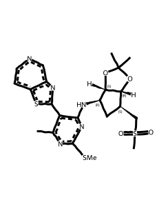 CSc1nc(C)c(-c2nc3cnccc3s2)c(N[C@@H]2C[C@H](CS(C)(=O)=O)[C@H]3OC(C)(C)O[C@H]32)n1